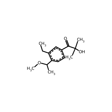 CCc1cc(C(=O)C(C)(C)O)ccc1C(C)OC